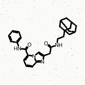 O=C(Cc1cn2c(C(=O)Nc3ccccc3)cccc2n1)NCCC12CC3CC(CC(C3)C1)C2